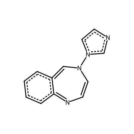 C1=CN(n2ccnc2)C=c2ccccc2=N1